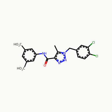 Cc1c(C(=O)Nc2cc(C(=O)O)cc(C(=O)O)c2)nnn1Cc1ccc(Cl)c(Cl)c1